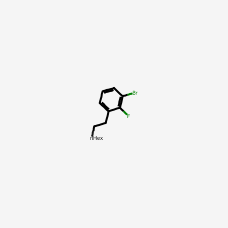 CCCCCCCCc1cccc(Br)c1F